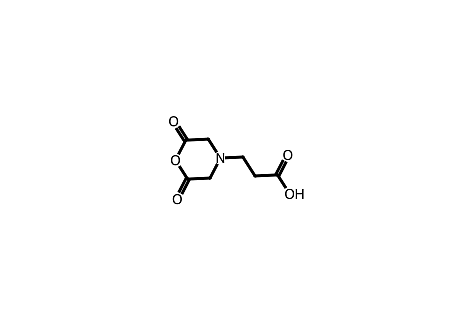 O=C(O)CCN1CC(=O)OC(=O)C1